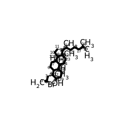 C=C(Br)C[C@H]1C2CC[C@H]3[C@@H]4CC[C@H]([C@H](C)CCCC(C)C)[C@@]4(C)CC[C@@H]3[C@@]2(C)CC[C@H]1O